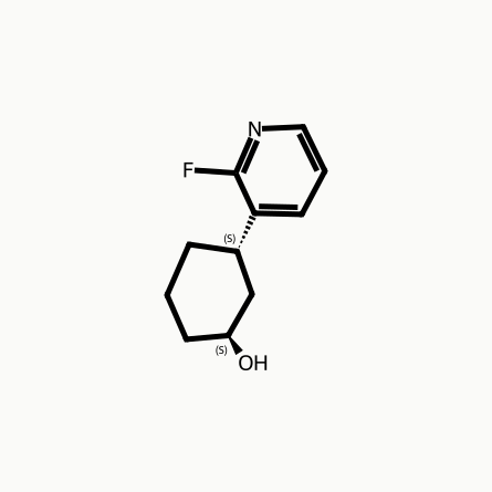 O[C@H]1CCC[C@H](c2cccnc2F)C1